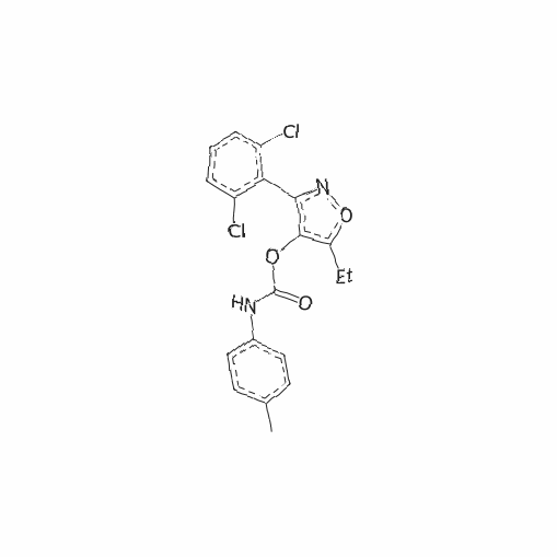 CCc1onc(-c2c(Cl)cccc2Cl)c1OC(=O)Nc1ccc(C)cc1